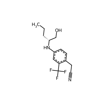 CCC[C@H](CO)Nc1ccc(CC#N)c(C(F)(F)F)c1